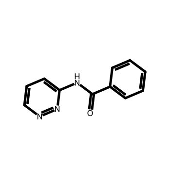 O=C(Nc1cccnn1)c1ccccc1